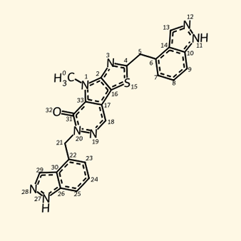 Cn1c2nc(Cc3cccc4[nH]ncc34)sc2c2cnn(Cc3cccc4[nH]ncc34)c(=O)c21